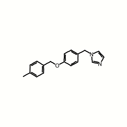 Cc1ccc(COc2ccc(Cn3ccnc3)cc2)cc1